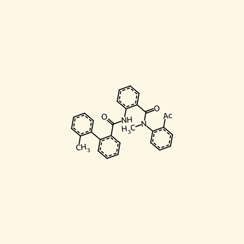 CC(=O)c1ccccc1N(C)C(=O)c1ccccc1NC(=O)c1ccccc1-c1ccccc1C